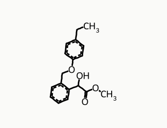 CCc1ccc(OCc2ccccc2C(O)C(=O)OC)cc1